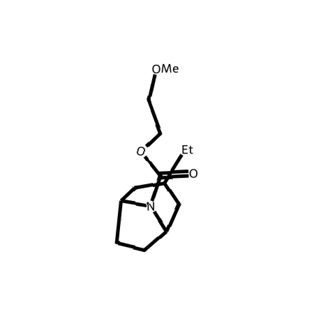 CCC1CC2CCC(C1)N2C(=O)OCCOC